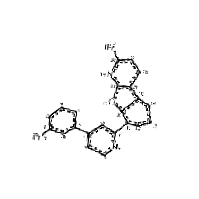 CC(C)c1cccc(-c2ccnc(-c3cccc4c3oc3nc(C(C)C)ccc34)c2)c1